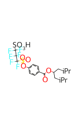 CC(C)CC(CC(C)C)OC(=O)c1ccc(OS(=O)(=O)C(F)(F)C(F)(F)C(F)(F)S(=O)(=O)O)cc1